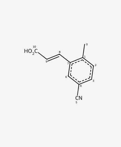 Cc1ccc(C#N)cc1C=CC(=O)O